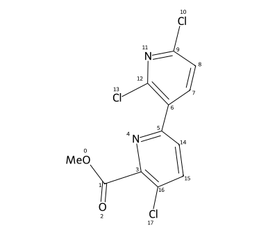 COC(=O)c1nc(-c2ccc(Cl)nc2Cl)ccc1Cl